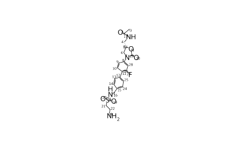 CC(=O)NC[C@H]1CN(c2ccc(-c3ccc(CNS(=O)(=O)CCN)cc3)c(F)c2)C(=O)O1